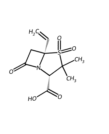 C=C[C@@]12CC(=O)N1[C@@H](C(=O)O)C(C)(C)S2(=O)=O